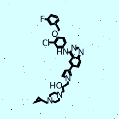 OC(CN1CCN(CC2CC2)CC1)Cn1ccc(-c2ccc3ncnc(Nc4ccc(OCc5cccc(F)c5)c(Cl)c4)c3c2)c1